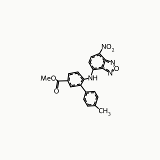 COC(=O)c1ccc(Nc2ccc([N+](=O)[O-])c3nonc23)c(-c2ccc(C)cc2)c1